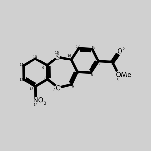 COC(=O)C1=CC2=COC3=C(CCC=C3[N+](=O)[O-])SC2C=C1